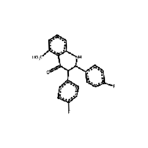 O=C(O)c1cccc2c1C(=O)C(c1ccc(F)cc1)C(c1ccc(F)cc1)N2